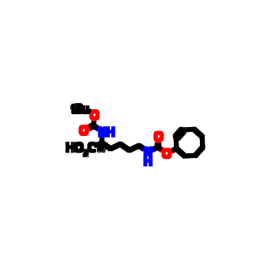 CC(C)(C)OC(=O)N[C@@H](CCCCNC(=O)OC1C#CCCCCC1)C(=O)O